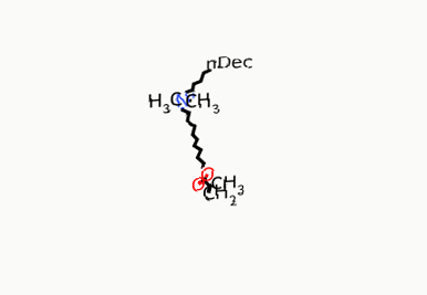 C=C(C)C(=O)OCCCCCCCCCCC[N+](C)(C)CCCCCCCCCCCCCCCC